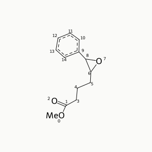 COC(=O)CCCC1OC1c1ccccc1